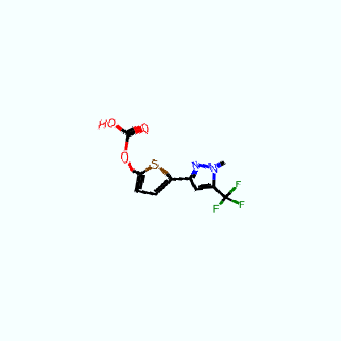 Cn1nc(-c2ccc(OC(=O)O)s2)cc1C(F)(F)F